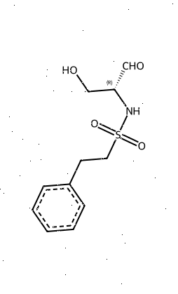 O=C[C@@H]([CH]O)NS(=O)(=O)CCc1ccccc1